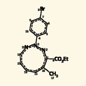 CCOC(=O)c1nn(-c2ccc(Br)cc2)nccccc1C